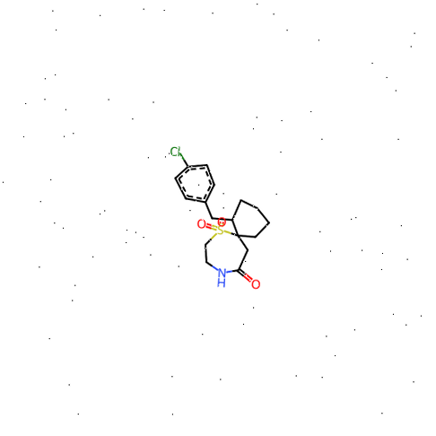 O=C1CC2(CCCCC2Cc2ccc(Cl)cc2)S(=O)(=O)CCN1